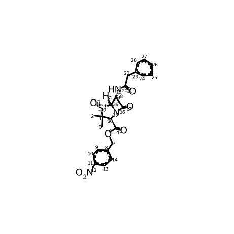 CC1(C)[C@H](C(=O)OCc2ccc([N+](=O)[O-])cc2)N2C(=O)[C@@H](NC(=O)Cc3ccccc3)[C@H]2[S+]1[O-]